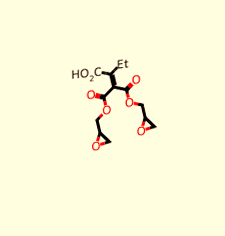 CCC(C(=O)O)=C(C(=O)OCC1CO1)C(=O)OCC1CO1